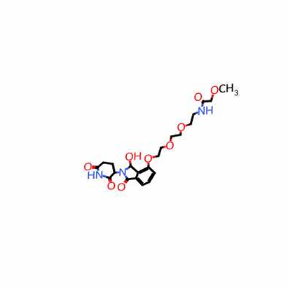 COCC(=O)NCCOCCOCCOc1cccc2c1C(O)N(C1CCC(=O)NC1=O)C2=O